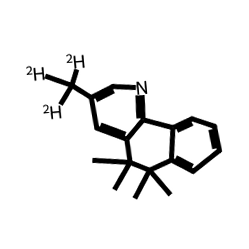 [2H]C([2H])([2H])c1cnc2c(c1)C(C)(C)C(C)(C)c1ccccc1-2